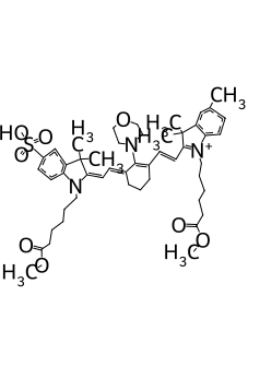 COC(=O)CCCCCN1/C(=C/C=C2\CCCC(/C=C/C3=[N+](CCCCCC(=O)OC)c4ccc(C)cc4C3(C)C)=C2N2CCOCC2)C(C)(C)c2cc(S(=O)(=O)O)ccc21